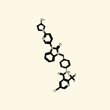 O=C(N[C@H]1CC[C@H](Cn2c(=O)n(-c3ccc(N4CC[C@@H](O)C4)nc3)c3ccccc32)CC1)c1cc(Cl)cnc1C(F)(F)F